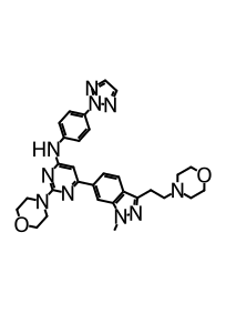 Cn1nc(CCN2CCOCC2)c2ccc(-c3cc(Nc4ccc(-n5nccn5)cc4)nc(N4CCOCC4)n3)cc21